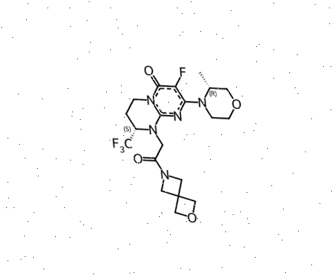 C[C@@H]1COCCN1c1nc2n(c(=O)c1F)CC[C@@H](C(F)(F)F)N2CC(=O)N1CC2(COC2)C1